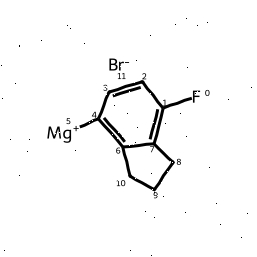 Fc1cc[c]([Mg+])c2c1CCC2.[Br-]